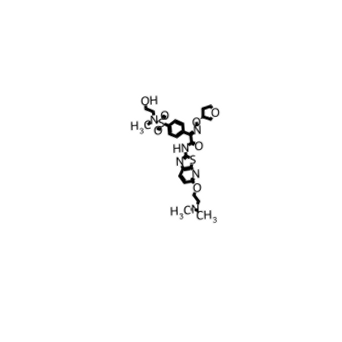 CN(C)CCOc1ccc2nc(NC(=O)/C(=N/O[C@@H]3CCOC3)c3ccc(S(=O)(=O)N(C)CCO)cc3)sc2n1